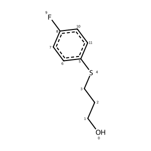 OCCCSc1ccc(F)cc1